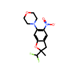 CC1(C(F)F)Cc2cc([N+](=O)[O-])c(N3CCOCC3)cc2O1